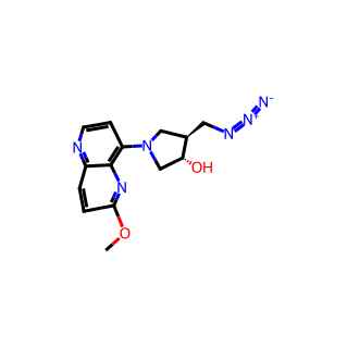 COc1ccc2nccc(N3C[C@@H](CN=[N+]=[N-])[C@H](O)C3)c2n1